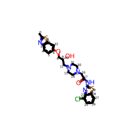 Cc1nc2ccc(OC[C@H](O)CN3CCN(CC(=O)Nc4nc5c(Cl)cccc5s4)CC3)cc2s1